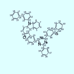 C1=CC2C(c3ccccc3N2c2cccc(-c3ccccc3)c2)c2c1oc1ccc(-c3nc(-c4ccccc4)nc(-c4ccc5c(c4)sc4ccccc45)n3)cc21